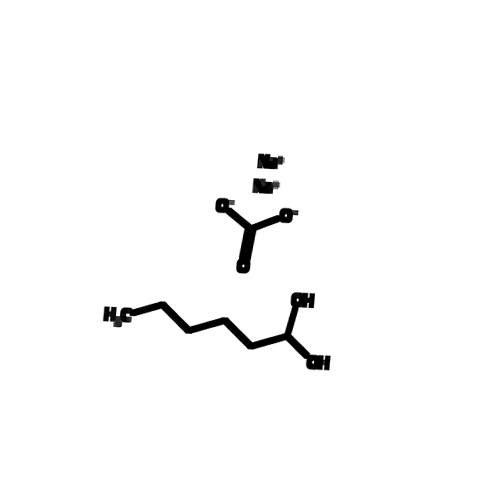 CCCCCC(O)O.O=C([O-])[O-].[Na+].[Na+]